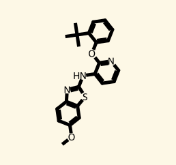 COc1ccc2nc(Nc3cccnc3Oc3ccccc3C(C)(C)C)sc2c1